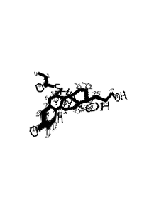 CCC(=O)SC1CC2=CC(=O)CC[C@]2(C)[C@@H]2CC[C@@]3(C)[C@@H](CCC3(O)CCCO)[C@H]12